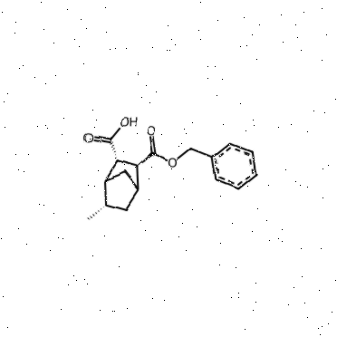 C[C@H]1CC2CC1[C@H](C(=O)O)[C@H]2C(=O)OCc1ccccc1